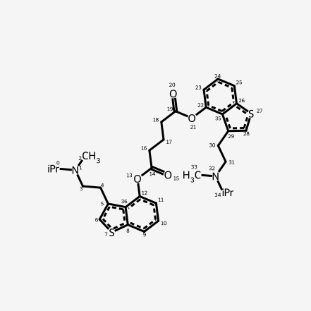 CC(C)N(C)CCc1csc2cccc(OC(=O)CCCC(=O)Oc3cccc4scc(CCN(C)C(C)C)c34)c12